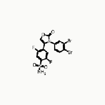 NS(=O)(=O)c1cc(F)c(-c2coc(=O)n2-c2ccc(Br)c(Br)c2)cc1F